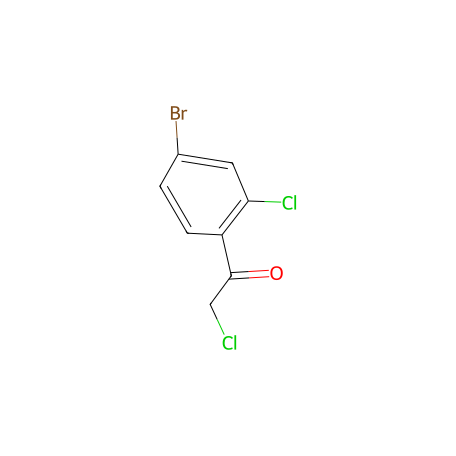 O=C(CCl)c1ccc(Br)cc1Cl